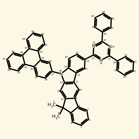 CC1(C)c2ccccc2-c2cc3c4cc(-c5nc(-c6ccccc6)nc(-c6ccccc6)n5)ccc4n(-c4ccc5c6ccccc6c6ccccc6c5c4)c3cc21